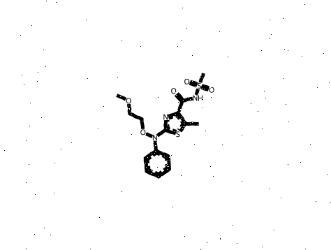 COCCON(c1ccccc1)c1nc(C(=O)NS(C)(=O)=O)c(C)s1